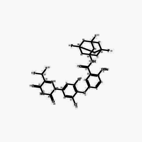 COc1ccc(Oc2c(Cl)cc(-n3nc(C(F)F)c(=O)[nH]c3=O)cc2Cl)cc1C(=O)NC12CC3(F)CC(F)(CC(F)(C3)C1)C2